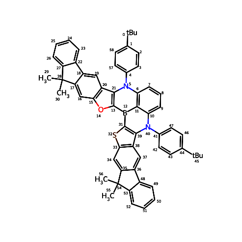 CC(C)(C)c1ccc(N2c3cccc4c3B(c3oc5cc6c(cc5c32)-c2ccccc2C6(C)C)c2sc3cc5c(cc3c2N4c2ccc(C(C)(C)C)cc2)-c2ccccc2C5(C)C)cc1